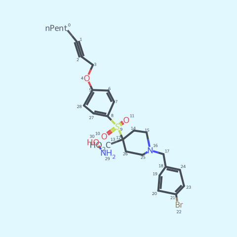 CCCCCC#CCOc1ccc(S(=O)(=O)C2(C(=O)O)CCN(Cc3ccc(Br)cc3)CC2)cc1.NO